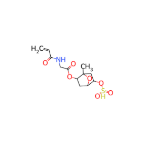 C=CC(=O)NCC(=O)OC1CC2OC1(C)CC2O[SH](=O)=O